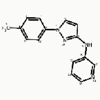 FC(F)(F)c1ccc(-n2ccc(Nc3cccnc3)n2)cc1